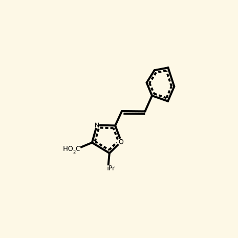 CC(C)c1oc(/C=C/c2ccccc2)nc1C(=O)O